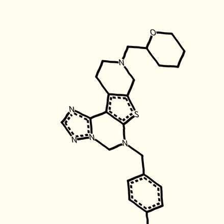 COc1ccc(CN2Cn3ncnc3-c3c2sc2c3CCN(CC3CCCCO3)C2)cc1